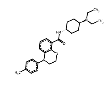 CCN(CC)[C@H]1CC[C@H](NC(=O)c2cccc3c2OCCN3c2ccc(C)cn2)CC1